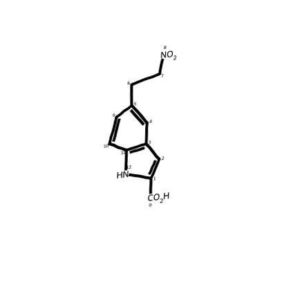 O=C(O)c1cc2cc(CC[N+](=O)[O-])ccc2[nH]1